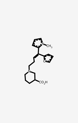 Cn1cccc1C(=CCCN1CCCC(C(=O)O)C1)c1ccco1